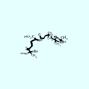 CCCCCCCC(C)(CCCC)C(=O)CCC(NC(=O)CCC(C)(C)OCC(C)(C)NC(C)(CC)CCCC)C(=O)O